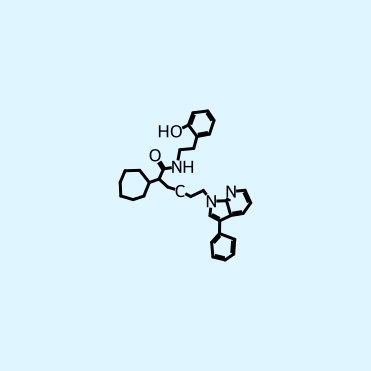 O=C(NCCc1ccccc1O)C(CCCCn1cc(-c2ccccc2)c2cccnc21)C1CCCCCC1